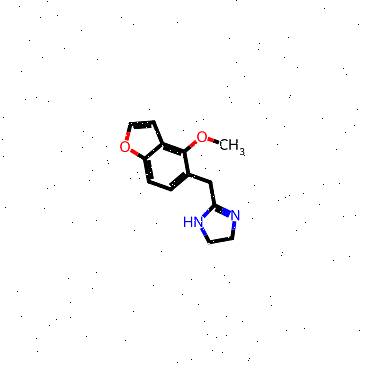 COc1c(CC2=NCCN2)ccc2occc12